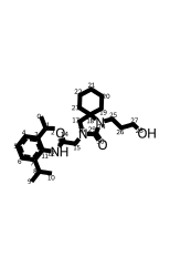 CC(C)c1cccc(C(C)C)c1NC(=O)CN1CC2(CCCCC2)N(CCCO)C1=O